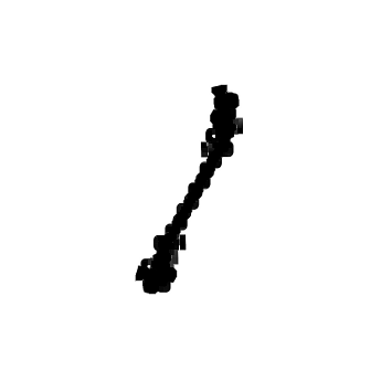 O=C(CCc1cc(Cl)c(Oc2sccc2C(=O)N2CCN(C3CC3)c3ccccc32)cc1Cl)NCCOCCOCCOCCOCCOCCOCCOCCOCCNC(=O)CCc1cc(Cl)c(Oc2sccc2C(=O)N2CCN(C3CC3)c3ccccc32)cc1Cl